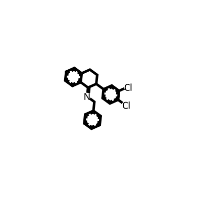 Clc1ccc(C2CCc3ccccc3/C2=N/Cc2ccccc2)cc1Cl